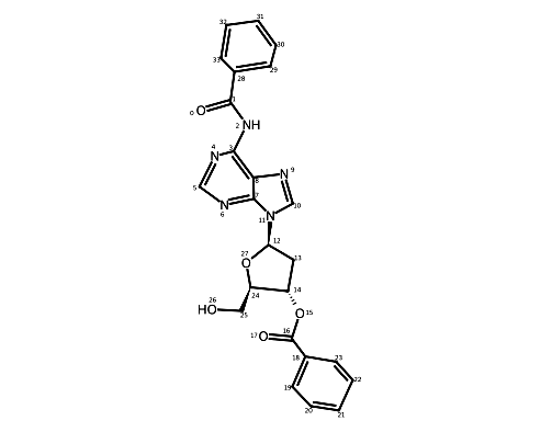 O=C(Nc1ncnc2c1ncn2[C@H]1C[C@H](OC(=O)c2ccccc2)[C@@H](CO)O1)c1ccccc1